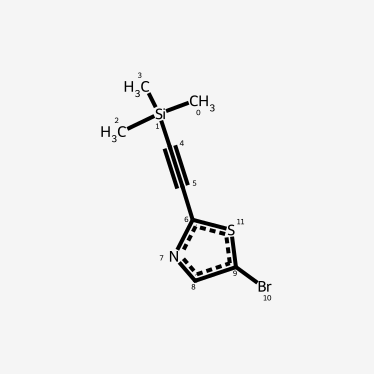 C[Si](C)(C)C#Cc1ncc(Br)s1